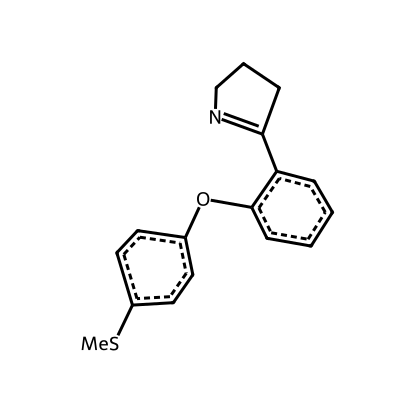 CSc1ccc(Oc2ccccc2C2=NCCC2)cc1